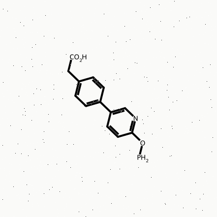 O=C(O)Cc1ccc(-c2ccc(OP)nc2)cc1